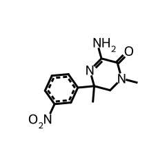 CN1CC(C)(c2cccc([N+](=O)[O-])c2)N=C(N)C1=O